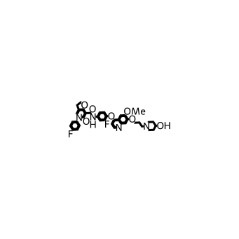 COc1cc2c(Oc3ccc(NC(=O)c4c5c(cn(-c6ccc(F)cc6)c4=O)CCO5)cc3F)ccnc2cc1OCCCN1CCC(O)CC1